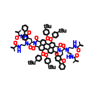 C=C(C)C(=O)NCCN(CCNC(=O)C(=C)C)C(=O)C(Cc1cccc2c1oc1ccccc12)N1C(=O)c2cc(Oc3ccc(C(C)(C)C)cc3)c3c4c(Oc5ccc(C(C)(C)C)cc5)cc5c6c(cc(Oc7ccc(C(C)(C)C)cc7)c(c7c(Oc8ccc(C(C)(C)C)cc8)cc(c2c37)C1=O)c64)C(=O)N(C(Cc1cccc2c1oc1ccccc12)C(=O)N(CCNC(=O)C(=C)C)CCNC(=O)C(=C)C)C5=O